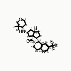 CC1(C)COCC[C@H]1N[C@@H]1C[C@H]2CCC[C@@]2(C(=O)N2CCc3ncc(C(F)(F)F)cc3C2)C1